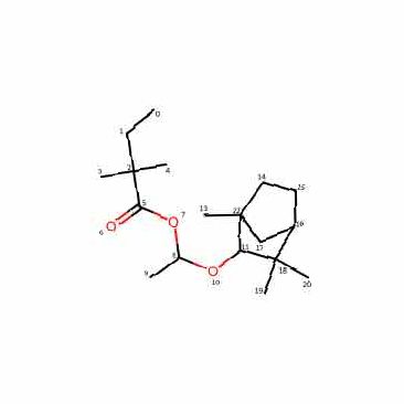 CCC(C)(C)C(=O)OC(C)OC1C2(C)CCC(C2)C1(C)C